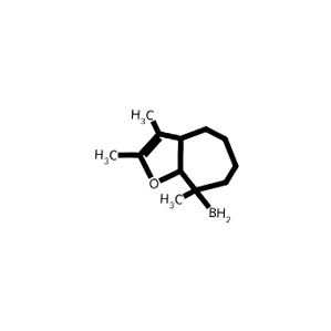 BC1(C)CCCCC2C(C)=C(C)OC21